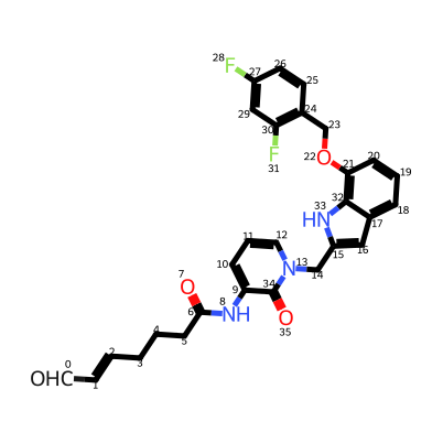 O=C/C=C/CCCC(=O)Nc1cccn(Cc2cc3cccc(OCc4ccc(F)cc4F)c3[nH]2)c1=O